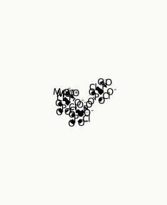 O=P([O-])([O-])C(Cl)(Cl)P(=O)([O-])[O-].O=P([O-])([O-])C(Cl)(Cl)P(=O)([O-])[O-].O=P([O-])([O-])C(Cl)(Cl)P(=O)([O-])[O-].[Mo+6].[Mo+6]